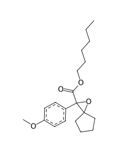 CCCCCCOC(=O)C1(c2ccc(OC)cc2)OC12CCCC2